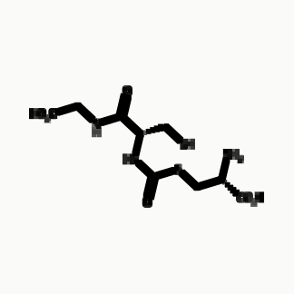 N[C@@H](CSC(=O)N[C@@H](CS)C(=O)NCC(=O)O)C(=O)O